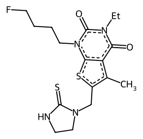 CCn1c(=O)c2c(C)c(CN3CCNC3=S)sc2n(CCCCF)c1=O